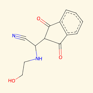 N#CC(NCCO)C1C(=O)c2ccccc2C1=O